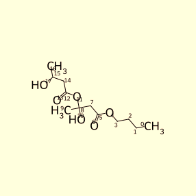 CCCCOC(=O)CC(C)(O)OC(=O)CC(C)O